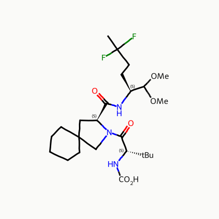 COC(OC)[C@H](CCC(C)(F)F)NC(=O)[C@@H]1CC2(CCCCC2)CN1C(=O)[C@@H](NC(=O)O)C(C)(C)C